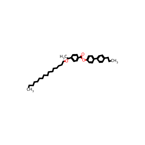 CCCCCCCCCCCCCCCCOC(C)c1ccc(C(=O)Oc2ccc(-c3ccc(CCC)cc3)cc2)cc1